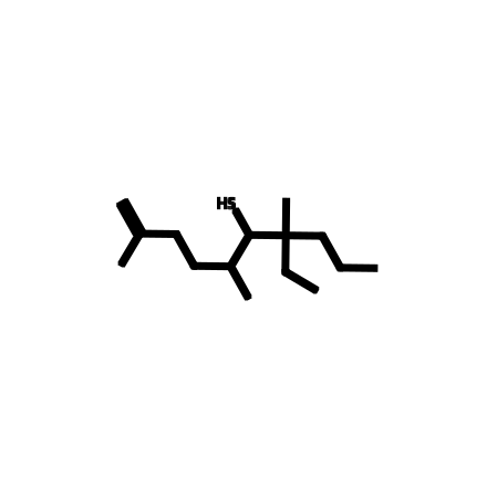 C=C(C)CCC(C)C(S)C(C)(CC)CCC